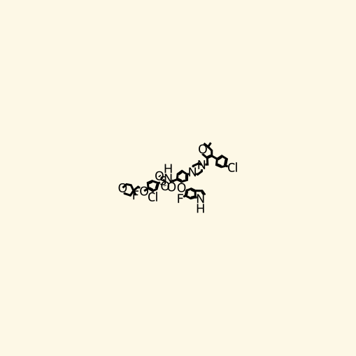 CC1(C)CC(c2ccc(Cl)cc2)=C(CN2CCN(c3ccc(C(=O)NS(=O)(=O)c4ccc(OCC5(F)CCOCC5)c(Cl)c4)c(Oc4cc5cc[nH]c5cc4F)c3)CC2)CO1